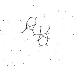 CC1C2CCC(C2)C1CC1(I)C2CCC(C2)C1C